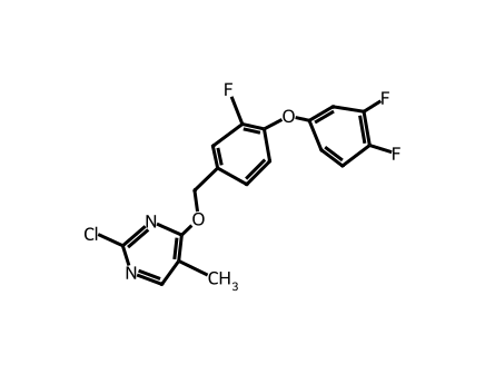 Cc1cnc(Cl)nc1OCc1ccc(Oc2ccc(F)c(F)c2)c(F)c1